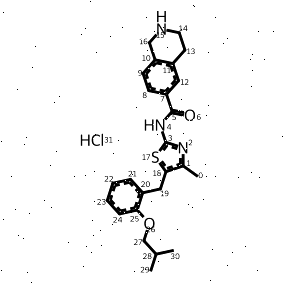 Cc1nc(NC(=O)c2ccc3c(c2)CCNC3)sc1Cc1ccccc1OCC(C)C.Cl